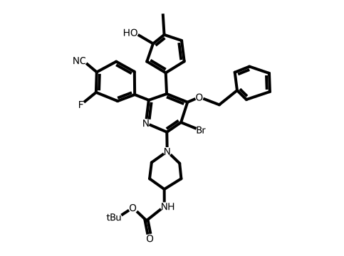 Cc1ccc(-c2c(-c3ccc(C#N)c(F)c3)nc(N3CCC(NC(=O)OC(C)(C)C)CC3)c(Br)c2OCc2ccccc2)cc1O